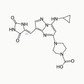 O=C1NC(=O)/C(=C/c2cnn3c(NC4CC4)cc(N4CCN(C(=O)O)CC4)nc23)N1